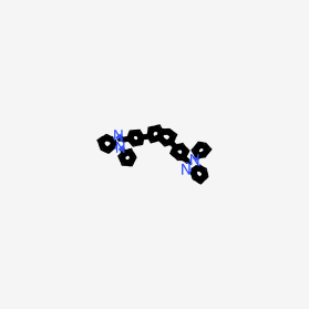 c1ccc(-n2c(-c3ccc(-c4ccc5ccc(-c6ccc(-c7nc8ccccc8n7-c7ccccc7)cc6)cc5c4)cc3)nc3ccccc32)cc1